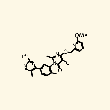 COc1cccc(COc2nc(C)n(-c3cc(-c4nc(C(C)C)ncc4C)ccc3C)c(=O)c2Cl)n1